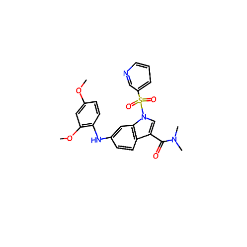 COc1ccc(Nc2ccc3c(C(=O)N(C)C)cn(S(=O)(=O)c4cccnc4)c3c2)c(OC)c1